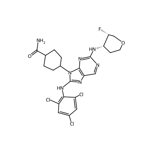 NC(=O)C1CCC(n2c(Nc3c(Cl)cc(Cl)cc3Cl)nc3cnc(N[C@H]4CCOC[C@H]4F)nc32)CC1